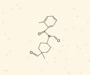 Cc1ccccc1C(=O)N(C=O)C1CCC(C)(C=O)CC1